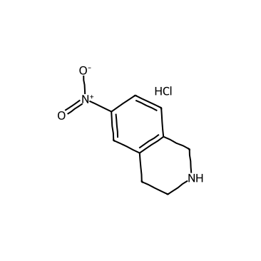 Cl.O=[N+]([O-])c1ccc2c(c1)CCNC2